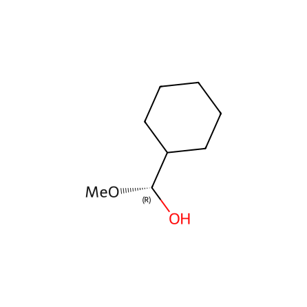 CO[C@@H](O)C1CCCCC1